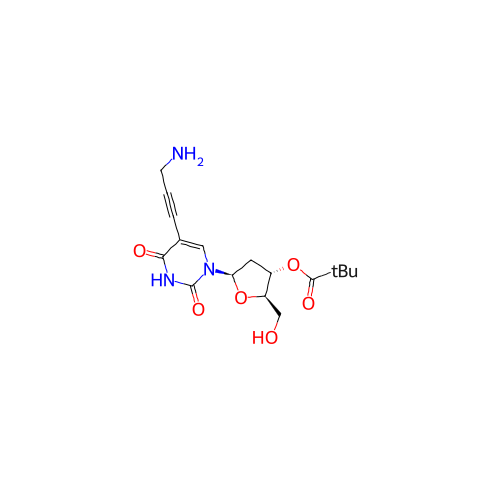 CC(C)(C)C(=O)O[C@H]1C[C@H](n2cc(C#CCN)c(=O)[nH]c2=O)O[C@@H]1CO